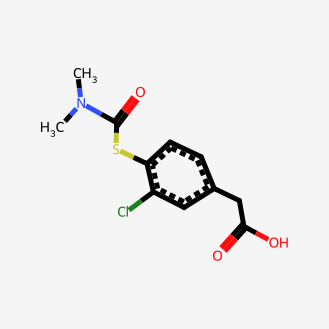 CN(C)C(=O)Sc1ccc(CC(=O)O)cc1Cl